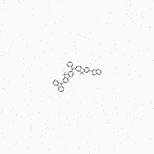 CC1(C)c2cc(-c3ccc4ccccc4c3)ccc2-c2ccc(N(c3ccccc3)c3ccc4c(c3)C(C)(C)c3cc(-n5c6ccccc6c6ccccc65)ccc3-4)cc21